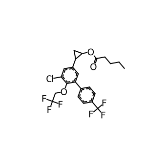 CCCCC(=O)OC1CC1c1cc(Cl)c(OCC(F)(F)F)c(-c2ccc(C(F)(F)F)cc2)c1